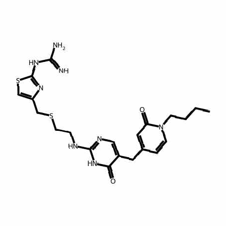 CCCCn1ccc(Cc2cnc(NCCSCc3csc(NC(=N)N)n3)[nH]c2=O)cc1=O